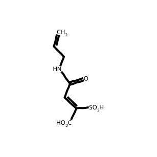 C=CCNC(=O)C=C(C(=O)O)S(=O)(=O)O